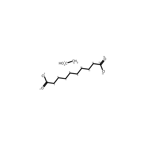 CC(=O)O.O=C(Cl)CCCCCCCCC(=O)Cl